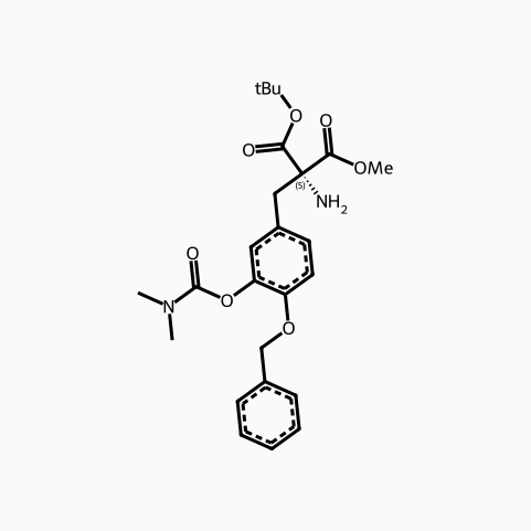 COC(=O)[C@@](N)(Cc1ccc(OCc2ccccc2)c(OC(=O)N(C)C)c1)C(=O)OC(C)(C)C